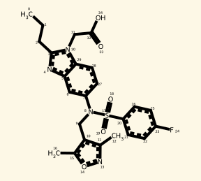 CCCc1nc2cc(N(Cc3c(C)noc3C)S(=O)(=O)c3ccc(F)cc3)ccc2n1CC(=O)O